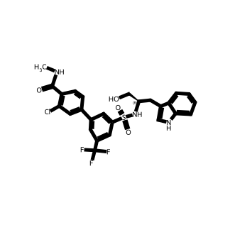 CNC(=O)c1ccc(-c2cc(C(F)(F)F)cc(S(=O)(=O)N[C@@H](CO)Cc3c[nH]c4ccccc34)c2)cc1Cl